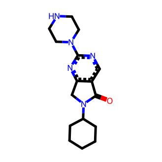 O=C1c2cnc(N3CCNCC3)nc2CN1C1CCCCC1